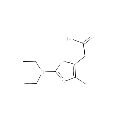 CCN(CC)c1nc(C)c(CC(=O)Br)s1